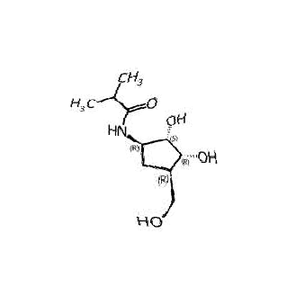 CC(C)C(=O)N[C@@H]1C[C@H](CO)[C@@H](O)[C@H]1O